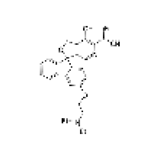 CCN(CC)CCOc1ccc(C2(c3ccccc3)OCc3c2cnc(C(C#N)C(C)C)c3O)cc1